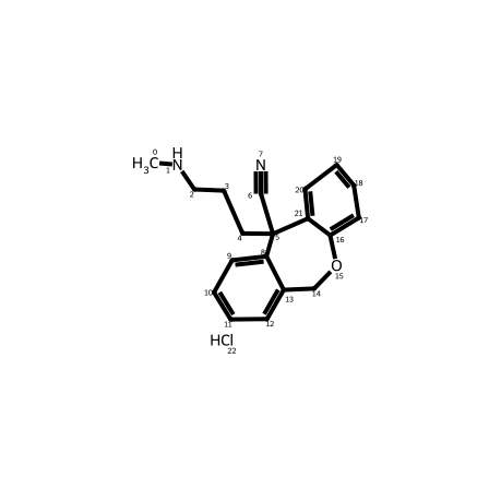 CNCCCC1(C#N)c2ccccc2COc2ccccc21.Cl